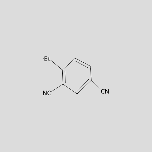 C[CH]c1ccc(C#N)cc1C#N